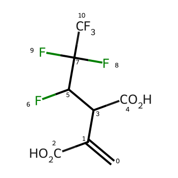 C=C(C(=O)O)C(C(=O)O)C(F)C(F)(F)C(F)(F)F